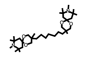 CN1C(C)(C)CC2(CC1(C)C)OCC(C)(CCCCCCCC1(C)COC3(CC(C)(C)N(C)C(C)(C)C3)OC1)CO2